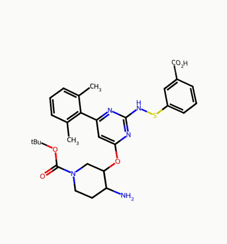 Cc1cccc(C)c1-c1cc(OC2CN(C(=O)OC(C)(C)C)CCC2N)nc(NSc2cccc(C(=O)O)c2)n1